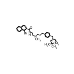 CN(CCCc1ccc(CN(C=O)OC(C)(C)C)cc1)CCNC(=O)c1ccc2ccccc2c1Br